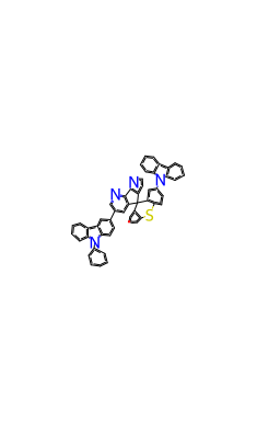 c1ccc(-n2c3ccccc3c3cc(-c4cnc5c(c4)C4(c6ccccc6Sc6ccc(-n7c8ccccc8c8ccccc87)cc64)c4cccnc4-5)ccc32)cc1